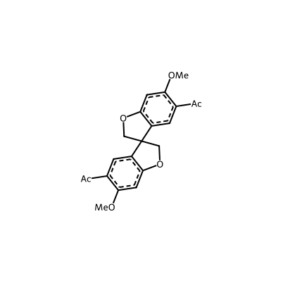 COc1cc2c(cc1C(C)=O)C1(CO2)COc2cc(OC)c(C(C)=O)cc21